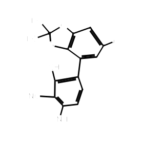 Cc1c(-c2cc(Cl)cc3c2OC(C)(C)O3)ccc(N)c1C#N